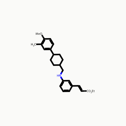 CCOC(=O)C=Cc1cccc(NCC2CCC(c3ccc(OC)c(C)c3)CC2)c1